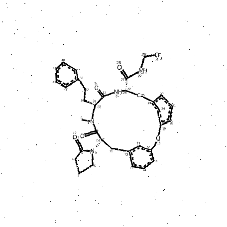 CN1C(=O)[C@@H](N2CCCC2=O)Cc2cccc(c2)Oc2cccc(c2)C[C@@H](C(=O)NCC(F)(F)F)NC(=O)[C@@H]1CCc1ccccc1